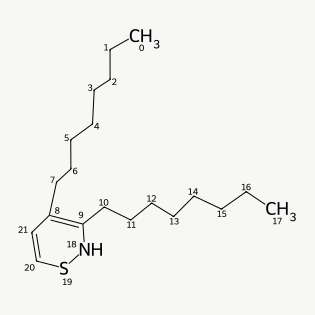 CCCCCCCCC1=C(CCCCCCCC)NSC=C1